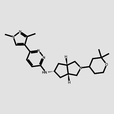 Cc1nn(C)cc1-c1ccc(N[C@@H]2C[C@@H]3CN(C4CCOC(C)(C)C4)C[C@@H]3C2)nn1